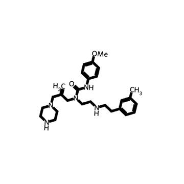 C=C(CN1CCNCC1)CN(CCNCCc1cccc(C)c1)C(=O)Nc1ccc(OC)cc1